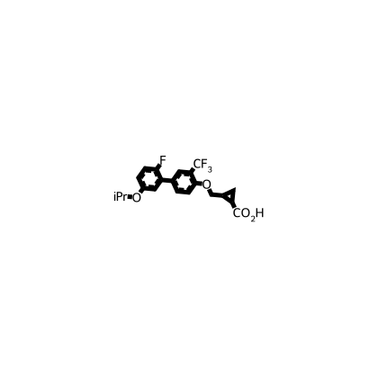 CC(C)Oc1ccc(F)c(-c2ccc(OCC3CC3C(=O)O)c(C(F)(F)F)c2)c1